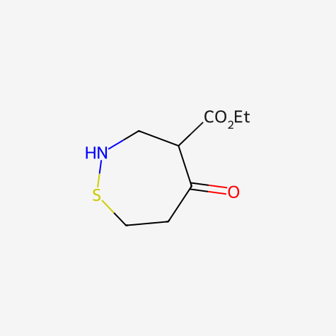 CCOC(=O)C1CNSCCC1=O